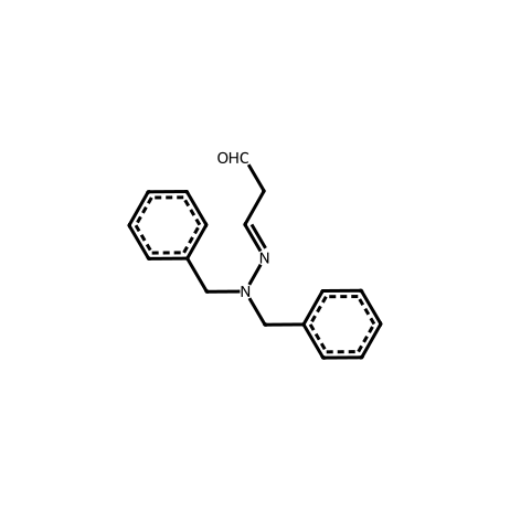 O=CC/C=N/N(Cc1ccccc1)Cc1ccccc1